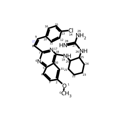 COc1ccc2nc(/C=C\c3ccc(Cl)cc3)nc(NC3CCCCC3NC(=N)N)c2c1